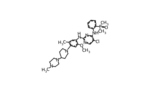 COc1cc(N2CCC(N3CCN(C)CC3)CC2)c(C)cc1Nc1ncc(Cl)c(Nc2ccccc2P(C)(C)=O)n1